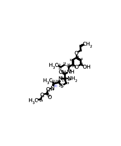 C=CCOC1=CC(O)OC([C@@H](CCC)NC(=O)[C@]2(N)CSC(/C(C)=N/OC(=O)OCC)=N2)=C1